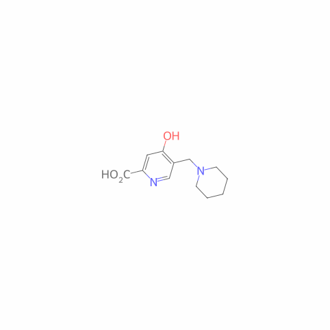 O=C(O)c1cc(O)c(CN2CCCCC2)cn1